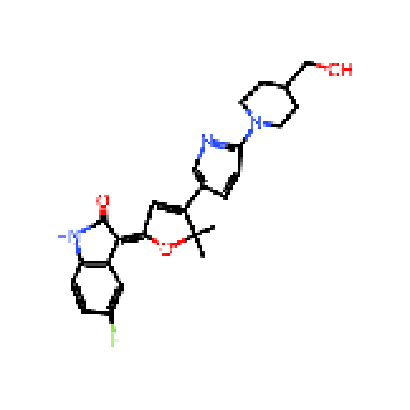 CC1(C)O/C(=C2/C(=O)Nc3ccc(F)cc32)C=C1c1ccc(N2CCC(CO)CC2)nc1